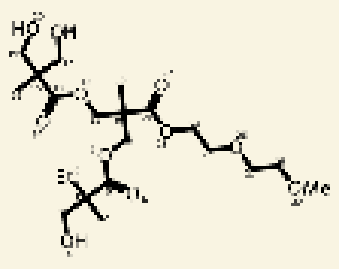 CCC(C)(CO)C(=O)OCC(C)(COC(=O)C(C)(CO)CO)C(=O)OCCOCCOC